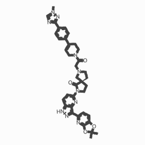 Cn1cnc(-c2ccc(C3=CCN(C(=O)CN4CC[C@]5(CCN(c6ccc7[nH]nc(-c8ccc9c(n8)OC(C)(C)O9)c7n6)C5=O)C4)CC3)cc2)n1